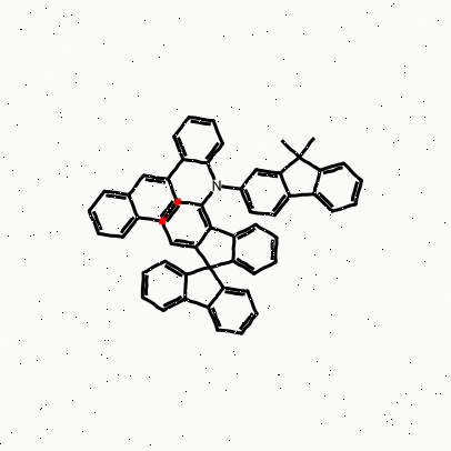 CC1(C)c2ccccc2-c2ccc(N(c3ccccc3-c3ccc4ccccc4c3)c3cccc4c3-c3ccccc3C43c4ccccc4-c4ccccc43)cc21